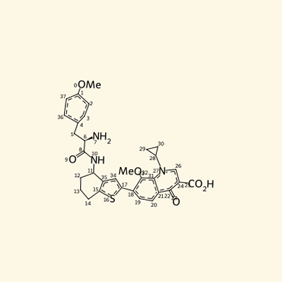 COc1ccc(C[C@@H](N)C(=O)NC2CCCc3sc(-c4ccc5c(=O)c(C(=O)O)cn(C6CC6)c5c4OC)cc32)cc1